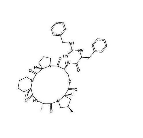 C[C@@H]1C[C@H]2C(=O)OC[C@H](NC(=O)[C@H](Cc3ccccc3)NC(=N)NCc3ccccc3)C(=O)N3CCC[C@H]3C(=O)N3CCCC[C@H]3C(=O)N[C@@H](C)C(=O)N2C1